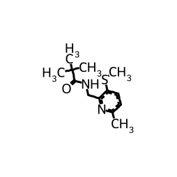 CSc1ccc(C)nc1CNC(=O)C(C)(C)C